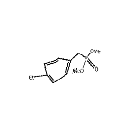 CCc1ccc(CP(=O)(OC)OC)cc1